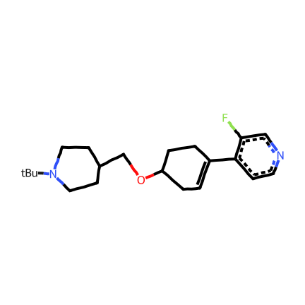 CC(C)(C)N1CCC(COC2CC=C(c3ccncc3F)CC2)CC1